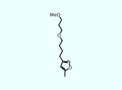 COCCCOCCCCc1cc(C)on1